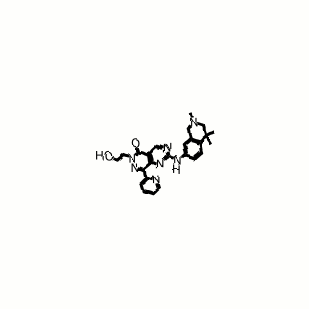 CN1Cc2cc(Nc3ncc4c(=O)n(CCO)nc(-c5ccccn5)c4n3)ccc2C(C)(C)C1